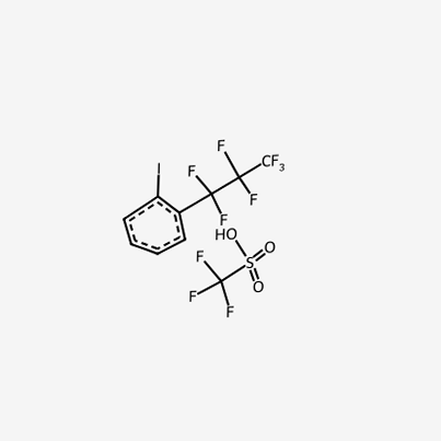 FC(F)(F)C(F)(F)C(F)(F)c1ccccc1I.O=S(=O)(O)C(F)(F)F